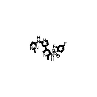 Cc1nccc(Nc2cc(-c3cnc(C)c(NS(=O)(=O)c4ccc(F)cc4F)c3)ccn2)n1